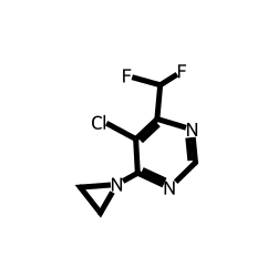 FC(F)c1ncnc(N2CC2)c1Cl